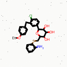 CCOc1ccc(Cc2cc(C3OC(CSc4ccccc4N)C(O)C(O)C3O)ccc2Cl)cc1